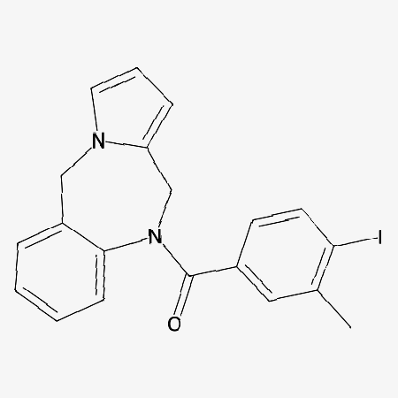 Cc1cc(C(=O)N2Cc3cccn3Cc3ccccc32)ccc1I